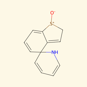 [O-][S+]1CC=C2C1=CC=CC21C=CC=CN1